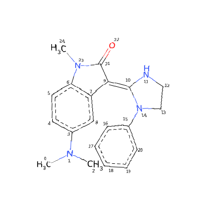 CN(C)c1ccc2c(c1)/C(=C1/NCCN1c1ccccc1)C(=O)N2C